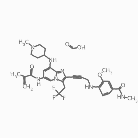 C=C(C)C(=O)Nc1cc(NC2CCN(C)CC2)c2nc(C#CCNc3ccc(C(=O)NC)cc3OC)c(CC(F)(F)F)n2c1.O=CO